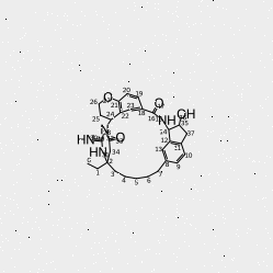 CCC12CCCCCc3ccc4c(c3)C(NC(=O)c3ccc5c(c3)C(CCO5)N(C(=N)N1)C(=O)C2)C(O)C4